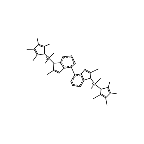 CC1=Cc2c(-c3cccc4c3C=C(C)C4[Si](C)(C)C3C(C)=C(C)C(C)=C3C)cccc2C1[Si](C)(C)C1C(C)=C(C)C(C)=C1C